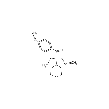 C=CCC(CC)(C(=O)c1ccc(OC)cc1)N1CCCCC1